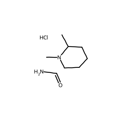 CC1CCCCN1C.Cl.NC=O